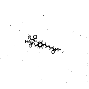 NC(=O)CCCCCc1ccc(Cn2cc(Cl)c(=O)[nH]c2=O)cc1